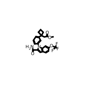 COC(=O)CC1(c2cccc(-n3c(C(N)=O)cc4ccc(OC(F)(F)F)cc43)c2)CCC1